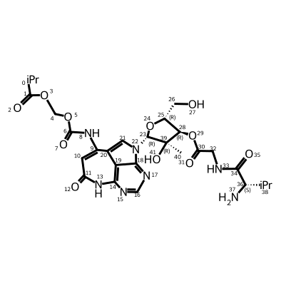 CC(C)C(=O)OCOC(=O)NC1=CC(=O)Nc2ncnc3c2c1cn3[C@@H]1O[C@H](CO)[C@@H](OC(=O)CNC(=O)[C@@H](N)C(C)C)[C@@]1(C)O